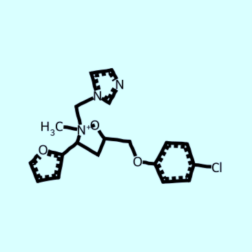 C[N+]1(Cn2ccnc2)OC(COc2ccc(Cl)cc2)CC1c1ccco1